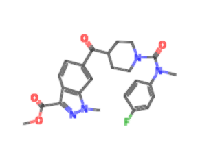 COC(=O)c1nn(C)c2cc(C(=O)C3CCN(C(=O)N(C)c4ccc(F)cc4)CC3)ccc12